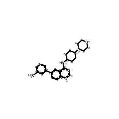 Cc1cncc(-c2ccc3ncnc(NC4CCC(N5CCOCC5)CC4)c3c2)c1